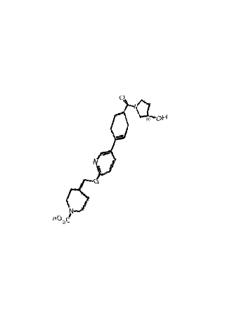 O=C(O)N1CCC(COc2ccc(C3=CCC(C(=O)N4CC[C@@H](O)C4)CC3)cn2)CC1